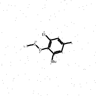 CCc1cc(C)cc(C(C)(C)C)c1OSI